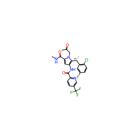 CNC(=O)c1cc(NC(=O)c2ccc(C(F)(F)F)cn2)c([C@H](C)c2cc(F)ccc2Cl)n1CC(C)=O